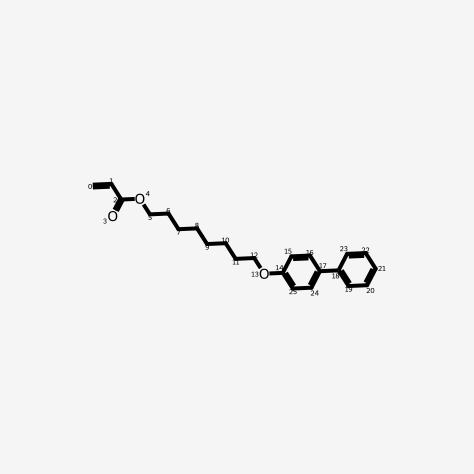 C=CC(=O)OCCCCCCCCOc1ccc(-c2ccccc2)cc1